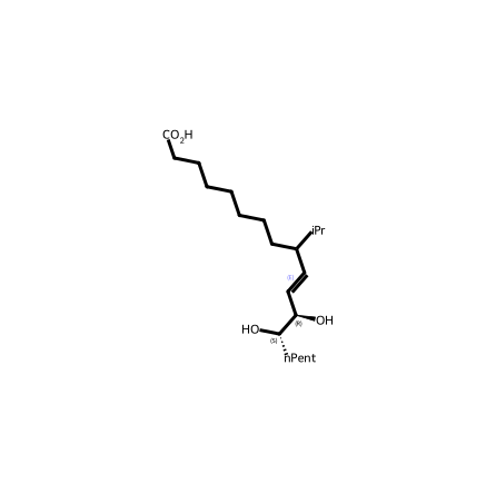 CCCCC[C@H](O)[C@H](O)/C=C/C(CCCCCCCC(=O)O)C(C)C